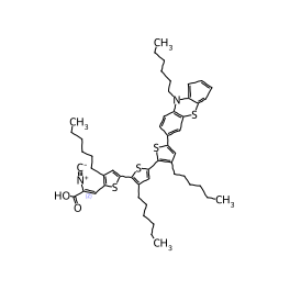 [C-]#[N+]/C(=C\c1sc(-c2sc(-c3sc(-c4ccc5c(c4)Sc4ccccc4N5CCCCCC)cc3CCCCCC)cc2CCCCCC)cc1CCCCCC)C(=O)O